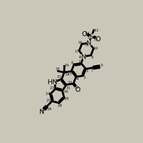 C#Cc1cc2c(cc1N1CCN(S(C)(=O)=O)CC1)C(C)(C)c1[nH]c3cc(C#N)ccc3c1C2=O